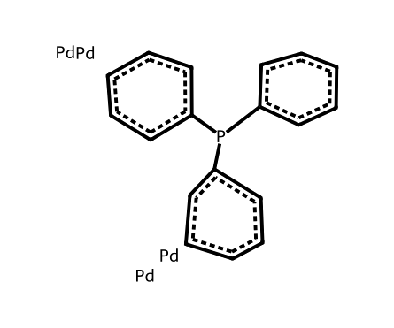 [Pd].[Pd].[Pd].[Pd].c1ccc(P(c2ccccc2)c2ccccc2)cc1